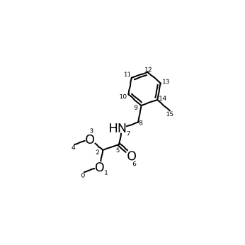 COC(OC)C(=O)NCc1ccccc1C